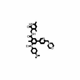 CCN(c1cc(-c2ccc(CN3CCOCC3)nc2)cc(C(=O)NCc2c(C)cc(C)[nH]c2=O)c1C)C1CCC(N(C)C)CC1